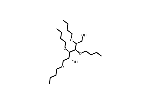 CCCCOC[C@@H](O)[C@@H](OCCCC)[C@H](OCCCC)[C@H](CO)OCCCC